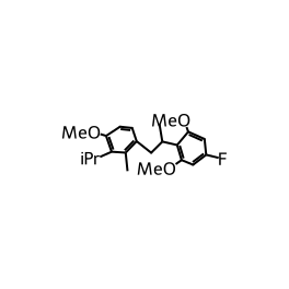 COc1ccc(CC(C)c2c(OC)cc(F)cc2OC)c(C)c1C(C)C